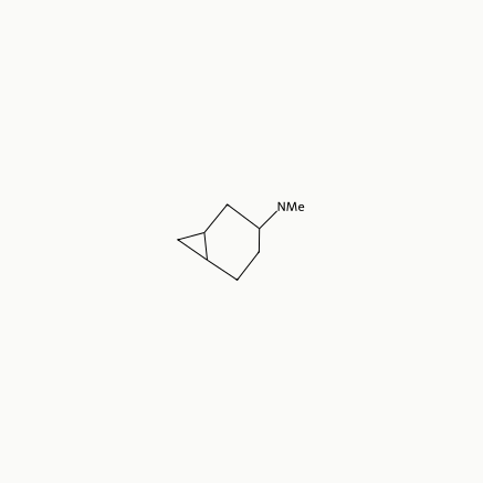 CNC1CCC2CC2C1